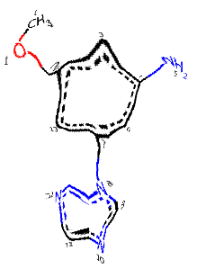 COc1cc(N)cc(-n2cncn2)c1